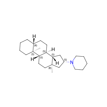 C[C@]12CC[C@H]3[C@@H](CC[C@H]4CCCC[C@@]43C)[C@@H]1C[C@H](N1CCCCC1)C2